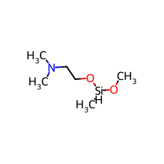 CO[SiH](C)OCCN(C)C